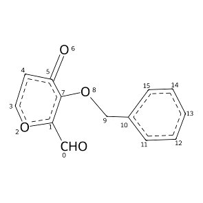 O=Cc1occc(=O)c1OCc1ccccc1